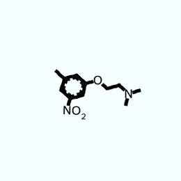 Cc1cc(OCCN(C)C)cc([N+](=O)[O-])c1